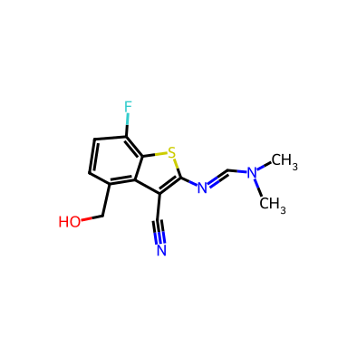 CN(C)/C=N/c1sc2c(F)ccc(CO)c2c1C#N